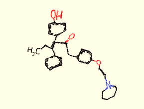 CCC(=C(C(=O)Cc1ccc(OCCN2CCCCC2)cc1)c1ccc(O)cc1)c1ccccc1